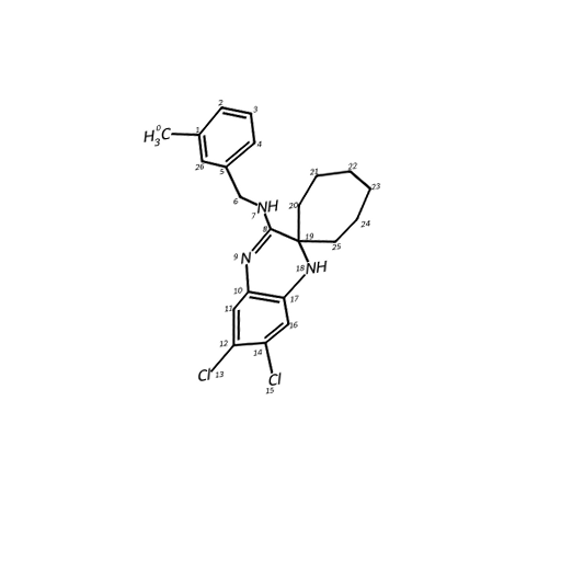 Cc1cccc(CNC2=Nc3cc(Cl)c(Cl)cc3NC23CCCCCC3)c1